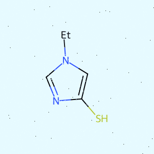 CCn1cnc(S)c1